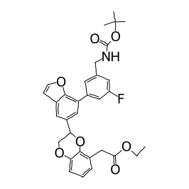 CCOC(=O)Cc1cccc2c1OC(c1cc(-c3cc(F)cc(CNC(=O)OC(C)(C)C)c3)c3occc3c1)CO2